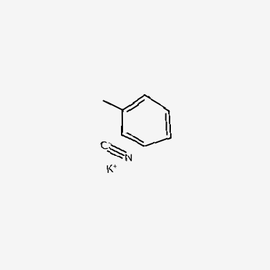 Cc1ccccc1.[C-]#N.[K+]